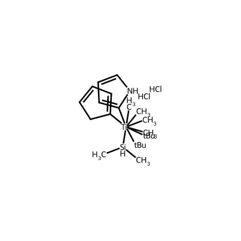 C[SiH](C)[Ti]([CH3])([CH3])([CH3])([CH3])([C]1=CC=CC1)([c]1ccc[nH]1)([C](C)(C)C)[C](C)(C)C.Cl.Cl